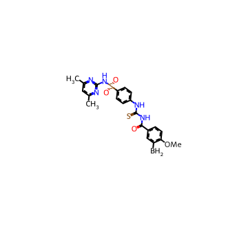 Bc1cc(C(=O)NC(=S)Nc2ccc(S(=O)(=O)Nc3nc(C)cc(C)n3)cc2)ccc1OC